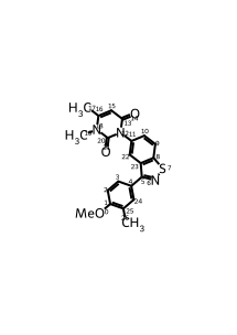 COc1ccc(-c2nsc3ccc(-n4c(=O)cc(C)n(C)c4=O)cc23)cc1C